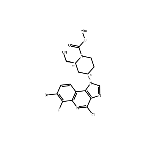 CC(C)(C)OC(=O)N1CC[C@H](n2cnc3c(Cl)nc4c(F)c(Br)ccc4c32)C[C@H]1CC#N